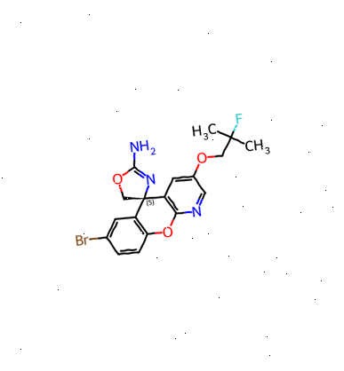 CC(C)(F)COc1cnc2c(c1)[C@]1(COC(N)=N1)c1cc(Br)ccc1O2